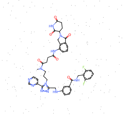 CN(CCCn1c(CNc2cccc(C(=O)NCc3c(F)cccc3F)c2)nnc1-c1ccncn1)C(=O)CCC(=O)Nc1cccc2c1CN(C1CCC(=O)NC1=O)C2=O